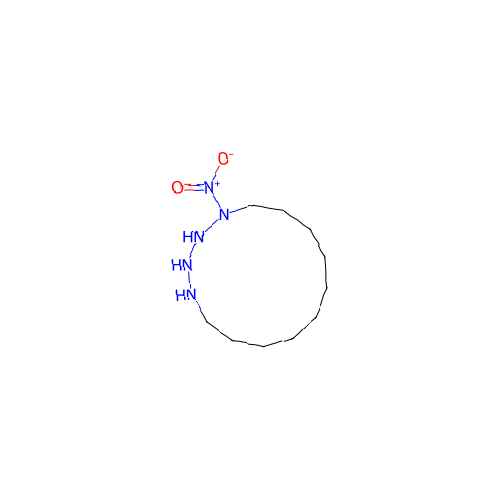 O=[N+]([O-])N1CCCCCCCCCCNNN1